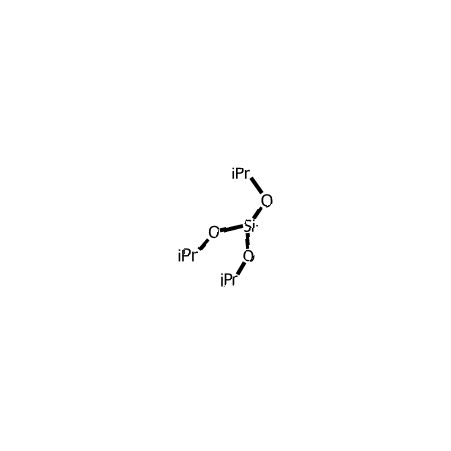 CC(C)O[Si](OC(C)C)OC(C)C